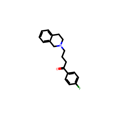 O=C(CCCN1CCc2ccccc2C1)c1ccc(F)cc1